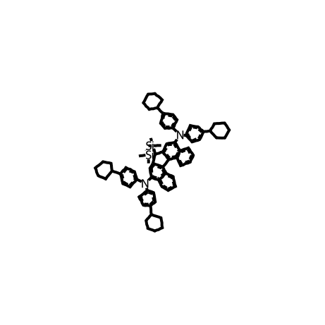 C[Si](C)(C)C1([Si](C)(C)C)c2cc(N(c3ccc(C4CCCCC4)cc3)c3ccc(C4CCCCC4)cc3)c3ccccc3c2-c2c1cc(N(c1ccc(C3CCCCC3)cc1)c1ccc(C3CCCCC3)cc1)c1ccccc21